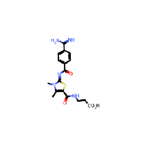 Cc1c(C(=O)NCCC(=O)O)sc(=NC(=O)c2ccc(C(=N)N)cc2)n1C